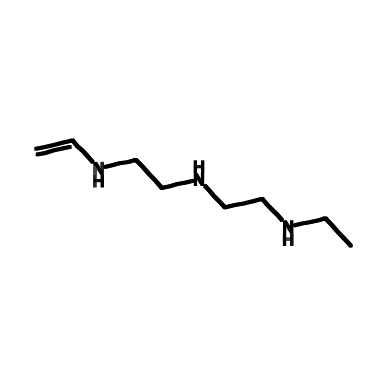 C=CNCCNCCNCC